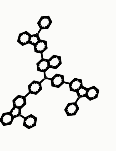 c1ccc(-n2c3ccccc3c3cc(-c4ccc(N(c5ccc(-c6ccc7c8ccccc8n(-c8ccccc8)c7c6)cc5)c5ccc(-c6ccc7c8ccccc8n(-c8ccccc8)c7c6)cc5)c5ccccc45)ccc32)cc1